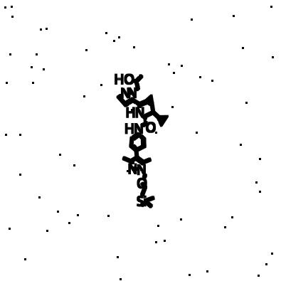 Cc1nn(COCC[Si](C)(C)C)c(C)c1-c1ccc(NC(=O)[C@H]2NC(c3ccnn3CC(C)O)=C3CC3C2C2CC2)cc1